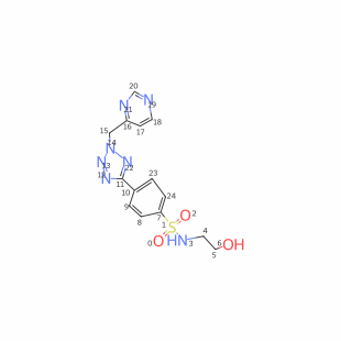 O=S(=O)(NCCO)c1ccc(-c2nnn(Cc3ccncn3)n2)cc1